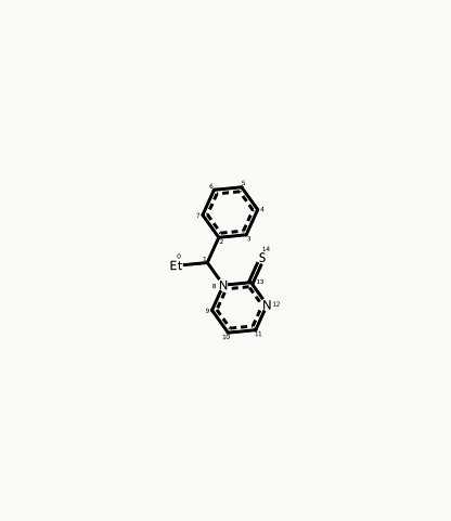 CCC(c1ccccc1)n1cccnc1=S